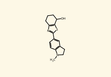 CN1CCc2cc(-c3nc4c(s3)C(O)CCC4)ccc21